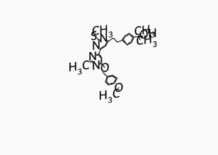 COc1ccc(COc2cc(-c3cc(CCc4ccc(C(C)(C)O)cc4)nc(SC)n3)nc(C)n2)cc1